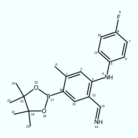 Cc1cc(Nc2ccc(F)cc2)c(C=N)cc1B1OC(C)(C)C(C)(C)O1